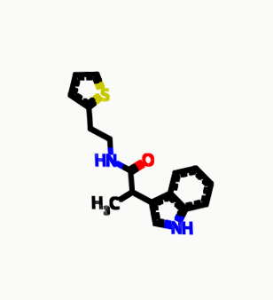 CC(C(=O)NCCc1cccs1)c1c[nH]c2ccccc12